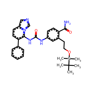 CC(C)(C)[Si](C)(C)OCCc1cc(NC(=O)Nc2c(-c3ccccc3)ccc3cncn23)ccc1C(N)=O